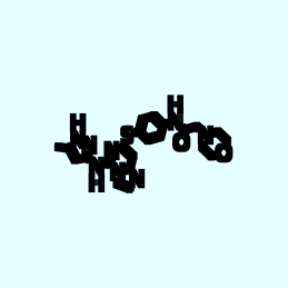 Cc1cc(Nc2nc(Sc3ccc(NC(=O)CN4CCOCC4)cc3)cc3nccn23)n[nH]1